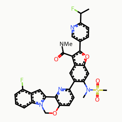 CNC(=O)c1c(-c2ccc(C(C)F)nc2)oc2cc(N(C)S(C)(=O)=O)c(-c3ccc4c(n3)-c3cc5c(F)cccc5n3CO4)cc12